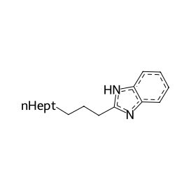 CCCCCCCCCCc1nc2ccccc2[nH]1